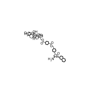 C[C@]12C=CC(=O)C=C1CC[C@@H]1[C@@H]2[C@@H](O)C[C@@]2(C)[C@H]1CC[C@]2(O)C(=O)COC(=O)c1ccc(C(=O)OCc2ccc(C(CCN)C(=O)Nc3ccc4ccccc4c3)cc2)cc1